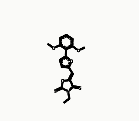 CCN1C(=S)O/C(=C\c2ccc(-c3c(OC)cccc3OC)o2)C1=S